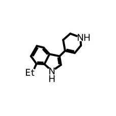 CCc1cccc2c(C3=CCNCC3)c[nH]c12